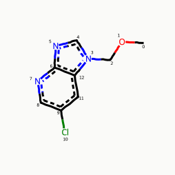 COCn1cnc2ncc(Cl)cc21